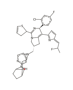 CC(F)/C=C1/C=CC(C2=C3C[C@H](CNCCN4CC5CCC4C5(O)c4ccccn4)CN3C(C3CC=CS3)=N[C@H]2c2ccc(F)cc2Cl)=N1